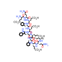 CC(=O)[C@H](CCC(=O)O)NC(=O)[C@H](CCC(N)=O)NC(=O)[C@H](CCCC(=O)O)NC(=O)[C@H](Cc1ccccc1)NC(=O)[C@H](CCCC(=O)O)NC(=O)[C@H](Cc1c[nH]c2ccccc12)NC(=O)[C@H](CCC(=O)O)NC(=O)[C@H](Cc1ccccc1)NC(=O)[C@H](CCC(=O)O)NC(=O)[C@H](CCC(N)=O)NC(=O)[C@@H](N)CCC(=O)O